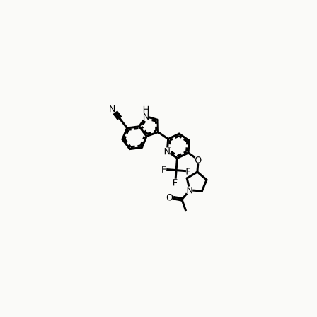 CC(=O)N1CCC(Oc2ccc(-c3c[nH]c4c(C#N)cccc34)nc2C(F)(F)F)C1